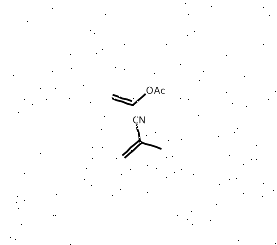 C=C(C)C#N.C=COC(C)=O